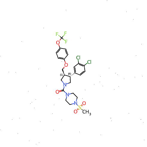 CS(=O)(=O)N1CCN(C(=O)N2C[C@@H](COc3ccc(OC(F)(F)F)cc3)[C@H](c3ccc(Cl)c(Cl)c3)C2)CC1